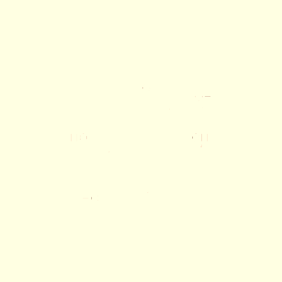 O=C(O)[C@@]1(O)CC[C@H](O)[C@H](O)C1